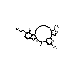 Cc1cc2cc(n1)-c1cnn(C)c1OCCCCCn1c(nc3ccn(CCO)c(=O)c31)NC2=O